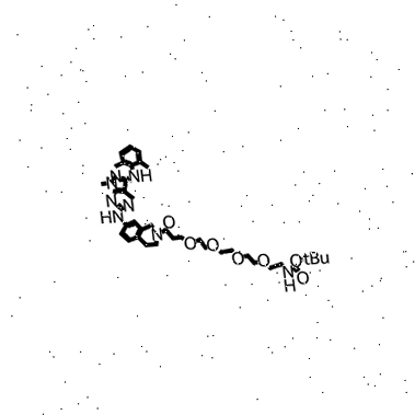 Cc1cccc(C)c1Nc1nn(C)c2nc(Nc3ccc4c(c3)CN(C(=O)CCOCCOCCOCCOCCNC(=O)OC(C)(C)C)CC4)ncc12